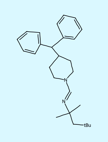 CC(C)(C)CC(C)(C)/N=C/N1CCC(C(c2ccccc2)c2ccccc2)CC1